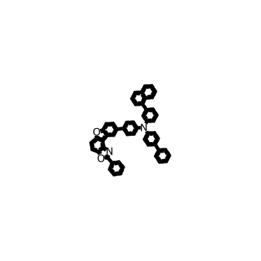 c1ccc(-c2ccc(N(c3ccc(-c4ccc5oc6ccc7oc(-c8ccccc8)nc7c6c5c4)cc3)c3cccc(-c4cccc5ccccc45)c3)cc2)cc1